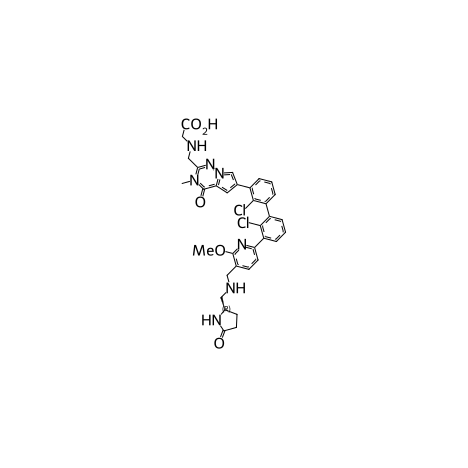 COc1nc(-c2cccc(-c3cccc(-c4cc5c(=O)n(C)c(CNCC(=O)O)nn5c4)c3Cl)c2Cl)ccc1CNC[C@H]1CCC(=O)N1